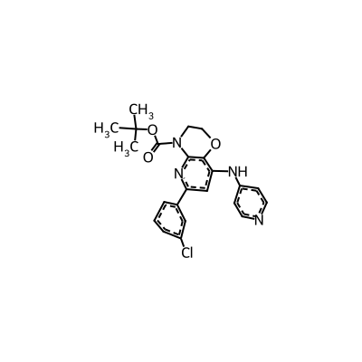 CC(C)(C)OC(=O)N1CCOc2c(Nc3ccncc3)cc(-c3cccc(Cl)c3)nc21